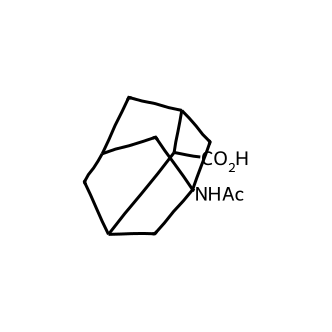 CC(=O)NC12CC3CC(C1)C(C(=O)O)C(C3)C2